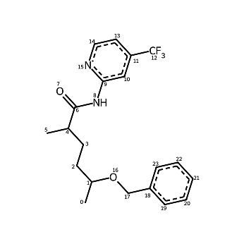 CC(CCC(C)C(=O)Nc1cc(C(F)(F)F)ccn1)OCc1ccccc1